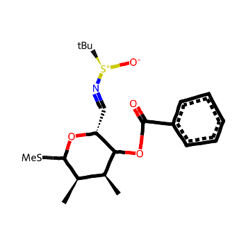 CSC1O[C@H](/C=N/[S@+]([O-])C(C)(C)C)C(OC(=O)c2ccccc2)[C@@H](C)[C@H]1C